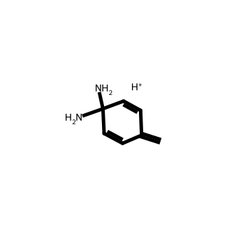 C=C1C=CC(N)(N)C=C1.[H+]